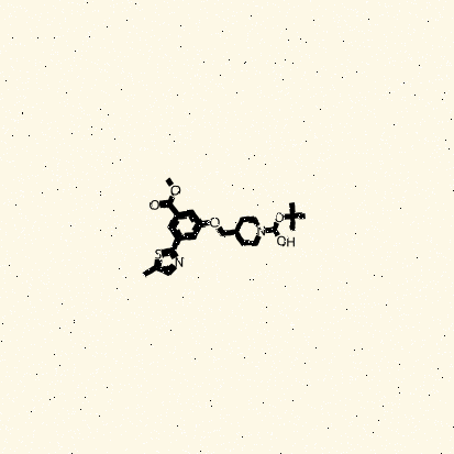 COC(=O)c1cc(OCC2CCN(C(O)OC(C)(C)C)CC2)cc(-c2ncc(C)s2)c1